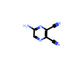 N#Cc1ncc(N)nc1C#N